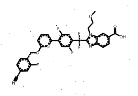 COCCn1c(C(F)(F)c2cc(F)c(-c3cccc(OCc4ccc(C#N)cc4F)n3)cc2F)nc2ccc(C(=O)O)cc21